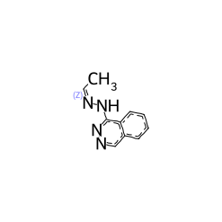 C/C=N\Nc1nncc2ccccc12